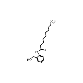 O=C(O)CCCCCCCCC(=O)Nc1ccccc1CO